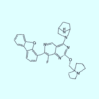 Fc1c(-c2cccc3c2oc2ccccc23)ncc2c(N3CC4CCC(C3)N4)nc(OCC34CCCN3CCC4)nc12